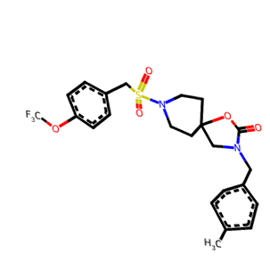 Cc1ccc(CN2CC3(CCN(S(=O)(=O)Cc4ccc(OC(F)(F)F)cc4)CC3)OC2=O)cc1